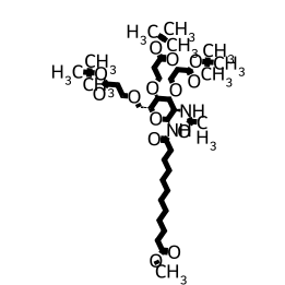 COC(=O)CCCCCCCCCCC(=O)N[C@@H]1O[C@H](COCCC(=O)OC(C)(C)C)[C@@H](OCCC(=O)OC(C)(C)C)[C@H](OCCC(=O)OC(C)(C)C)[C@H]1NC(C)=O